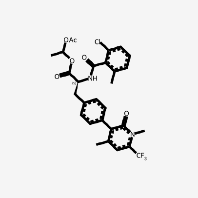 CC(=O)OC(C)OC(=O)[C@H](Cc1ccc(-c2c(C)cc(C(F)(F)F)n(C)c2=O)cc1)NC(=O)c1c(C)cccc1Cl